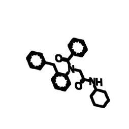 O=C(CN(C(=O)c1ccccc1)c1ccccc1Cc1ccccc1)NC1CCCCC1